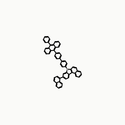 c1ccc(-c2c3ccccc3c(-c3ccc(-c4ccc(-n5c6cc(-c7cccc8ccccc78)ccc6c6c7ccccc7ccc65)cc4)cc3)c3ccccc23)cc1